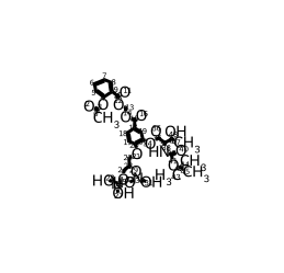 CC(=O)Oc1ccccc1C(=O)OCOC(=O)c1ccc(OCC(CON(O)O)ON(O)O)c(OC(=O)C(NC(=O)OC(C)(C)C)C(C)O)c1